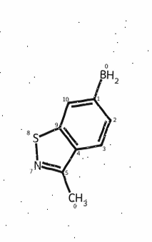 Bc1ccc2c(C)nsc2c1